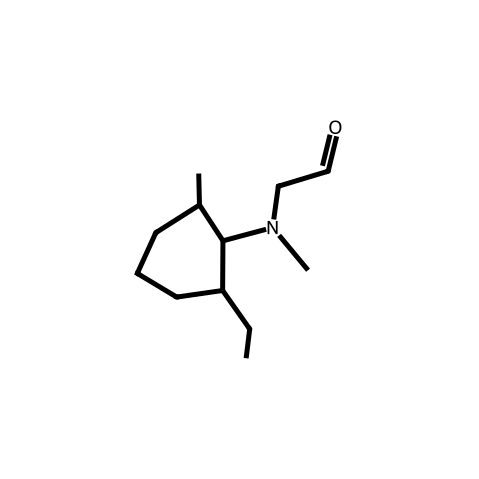 CCC1CCCC(C)C1N(C)CC=O